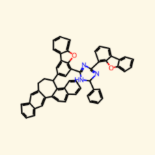 c1ccc(C2N=C(c3cccc4c3oc3ccccc34)N=C(c3cc(C4CCc5cc6ccccc6cc5-c5ccc6ccccc6c54)cc4c3oc3ccccc34)N2)cc1